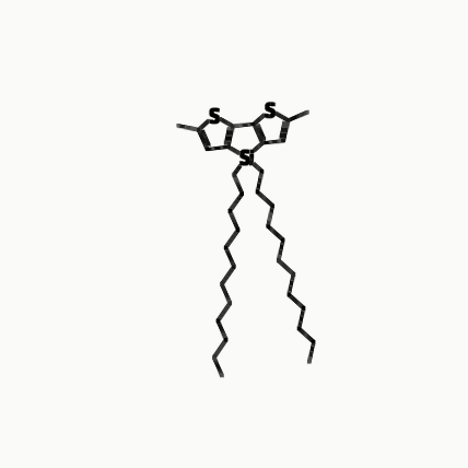 CCCCCCCCCCCC[Si]1(CCCCCCCCCCCC)c2cc(C)sc2-c2sc(C)cc21